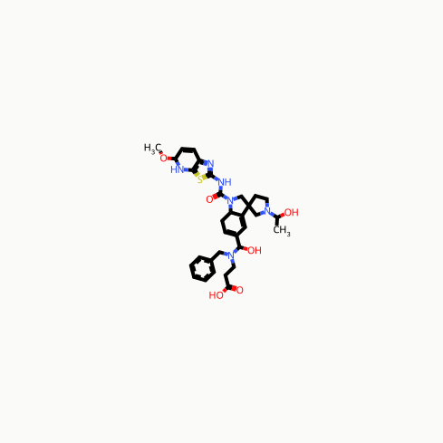 COC1C=Cc2nc(NC(=O)N3CC4(CCN(C(C)O)C4)C4=CC(C(O)N(CCC(=O)O)Cc5ccccc5)=CCC43)sc2N1